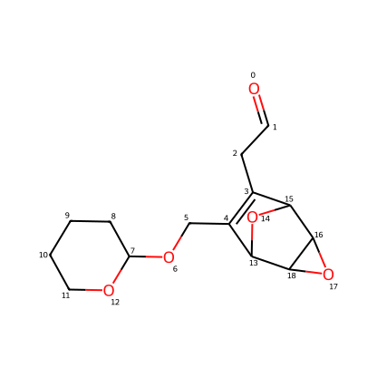 O=CCC1=C(COC2CCCCO2)C2OC1C1OC21